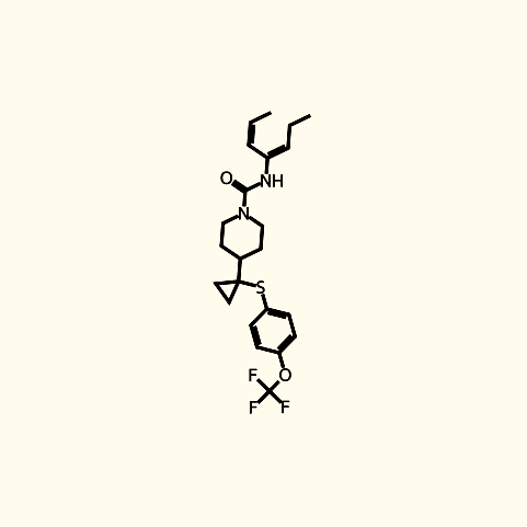 C/C=C\C(=C/CC)NC(=O)N1CCC(C2(Sc3ccc(OC(F)(F)F)cc3)CC2)CC1